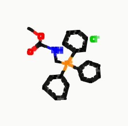 COC(=O)NC[P+](c1ccccc1)(c1ccccc1)c1ccccc1.[Cl-]